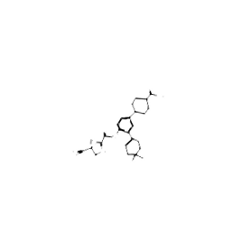 CC1(C)CC=C(c2cc(C3CCC(C(=O)O)CC3)ccc2NC(=O)C2=NCC(C#N)N2)CC1